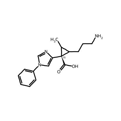 CC1C(CCCN)[C@]1(C(=O)O)c1cn(-c2ccccc2)cn1